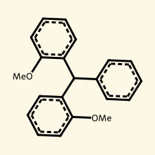 COc1ccccc1[C](c1ccccc1)c1ccccc1OC